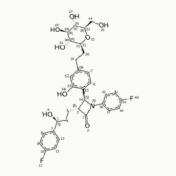 O=C1[C@H](CC[C@H](O)c2ccc(F)cc2)[C@@H](c2ccc(CC[C@@H]3O[C@H](CO)[C@@H](O)[C@H](O)[C@H]3O)cc2O)N1c1ccc(F)cc1